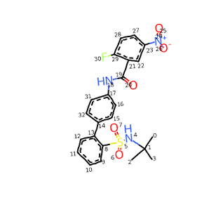 CC(C)(C)NS(=O)(=O)c1ccccc1-c1ccc(NC(=O)c2cc([N+](=O)[O-])ccc2F)cc1